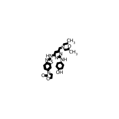 C[C@@H]1CN(Cc2cc(Nc3nc4ccc(N5CCOC5=O)cc4s3)nc(N[C@H]3CC[C@H](O)CC3)n2)C[C@H](C)O1